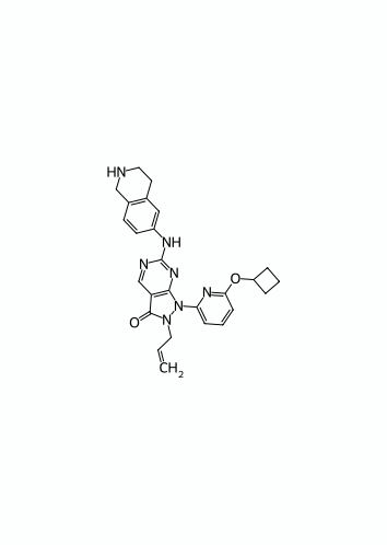 C=CCn1c(=O)c2cnc(Nc3ccc4c(c3)CCNC4)nc2n1-c1cccc(OC2CCC2)n1